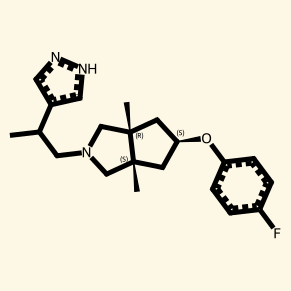 CC(CN1C[C@]2(C)C[C@@H](Oc3ccc(F)cc3)C[C@]2(C)C1)c1cn[nH]c1